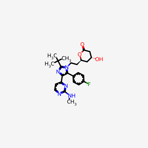 CNc1nccc(-c2nc(C(C)(C)C)n(CC[C@@H]3C[C@@H](O)CC(=O)O3)c2-c2ccc(F)cc2)n1